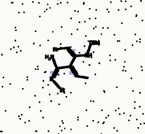 C/C=C(C(=C/CC)\NOC)/C(N)=N\CC